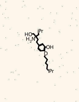 CC(C)CCCCCOc1ccc(CC[C@@](N)(CO)CC(C)C)cc1O